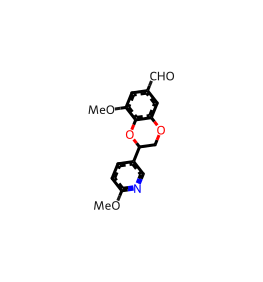 COc1ccc(C2COc3cc(C=O)cc(OC)c3O2)cn1